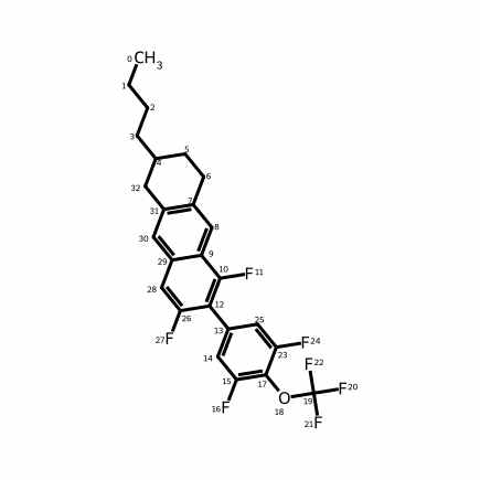 CCCCC1CCc2cc3c(F)c(-c4cc(F)c(OC(F)(F)F)c(F)c4)c(F)cc3cc2C1